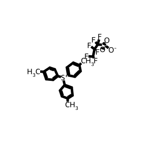 Cc1ccc([S+](c2ccc(C)cc2)c2ccc(C)cc2)cc1.O=S(=O)([O-])C(F)(F)C(F)(F)C(F)F